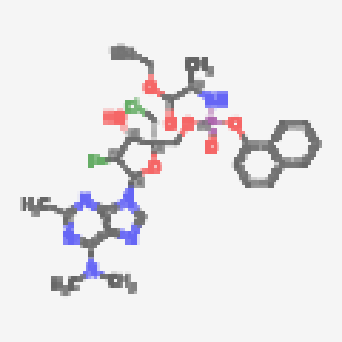 Cc1nc(N(C)C)c2ncn([C@@H]3O[C@](CCl)(CO[P@@](=O)(N[C@H](C)C(=O)OCC(C)(C)C)Oc4cccc5ccccc45)[C@@H](O)[C@@H]3F)c2n1